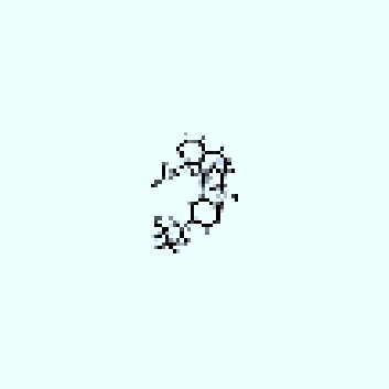 CC1(C)OB(C2CCC3NC4[C@H]5C[C@H](C6C(CCCC6OC(F)F)CN5)N4C3C2)OC1(C)C